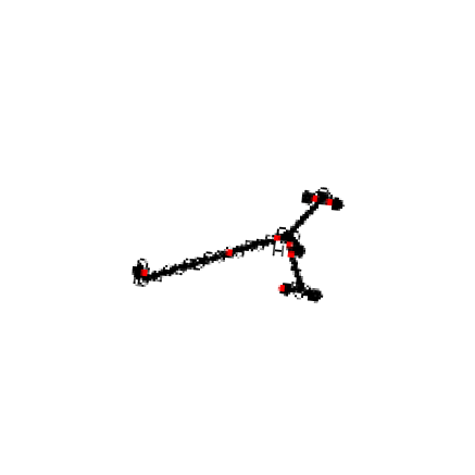 O=C(CCOCCOCCOCCOCCOCCOCCOCCOCCOCCOCCOCCOCCNC(=O)C(CCCCCCCCCCCCCCP(=O)(OCc1ccccc1)OCc1ccccc1)(CCCCCCCCCCCCCCP(=O)(OCc1ccccc1)OCc1ccccc1)C(=O)OCc1ccccc1)ON1C(=O)CCC1=O